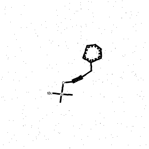 CC(C)(C)[Si](C)(C)OC#CCc1ccccc1